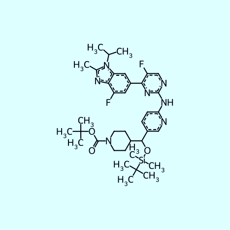 Cc1nc2c(F)cc(-c3nc(Nc4ccc(C(O[Si](C)(C)C(C)(C)C)C5CCN(C(=O)OC(C)(C)C)CC5)cn4)ncc3F)cc2n1C(C)C